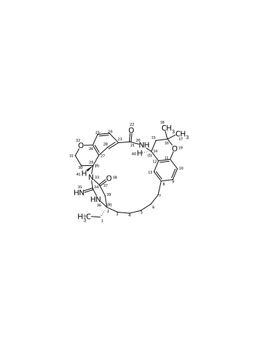 CC[C@]12CCCCCc3ccc4c(c3)[C@H](CC(C)(C)O4)NC(=O)c3ccc4c(c3)[C@@H](CCO4)N(C(=N)N1)C(=O)C2